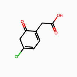 O=C(O)CC1=CC=C(Cl)CC1=O